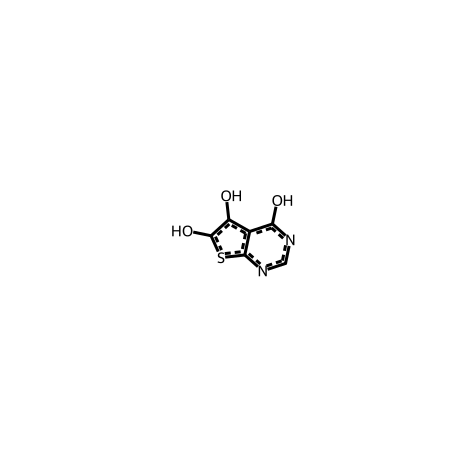 Oc1sc2ncnc(O)c2c1O